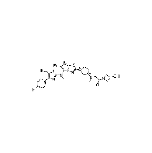 CCc1nc2sc([C@H]3CC[C@@H](N(C)CC(=O)N4CC(O)C4)C3)nn2c1N(C)c1nc(-c2ccc(F)cc2)c(C#N)s1